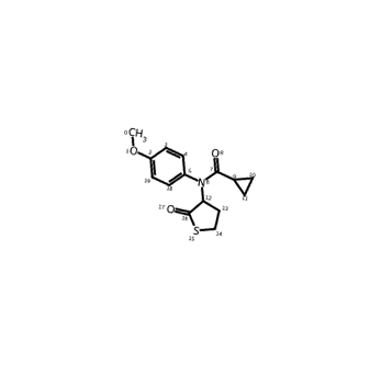 COc1ccc(N(C(=O)C2CC2)C2CCSC2=O)cc1